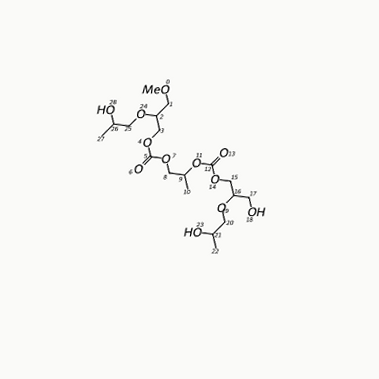 COCC(COC(=O)OCC(C)OC(=O)OCC(CO)OCC(C)O)OCC(C)O